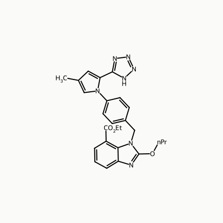 CCCOc1nc2cccc(C(=O)OCC)c2n1Cc1ccc(-n2cc(C)cc2-c2nnn[nH]2)cc1